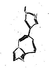 Cn1cc(-c2ccc3nccn3c2)cn1